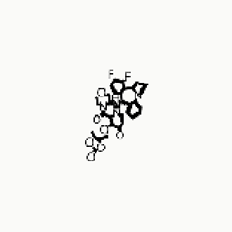 Cc1oc(=O)oc1COc1c2n(ccc1=O)N([C@@H]1c3ccccc3-n3cccc3-c3c1ccc(F)c3F)[C@@H]1COCCN1C2=O